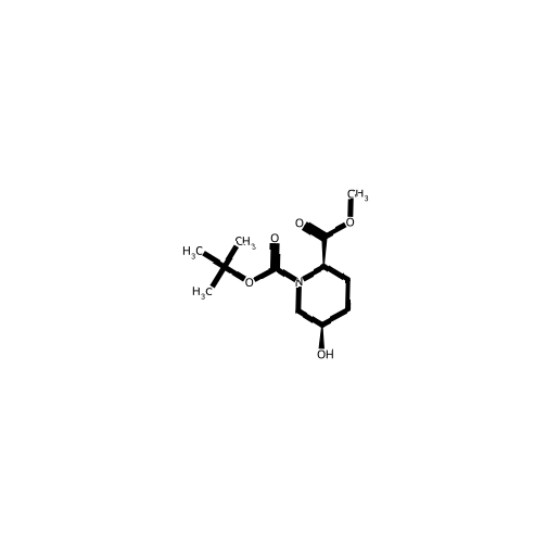 COC(=O)[C@H]1CC[C@@H](O)CN1C(=O)OC(C)(C)C